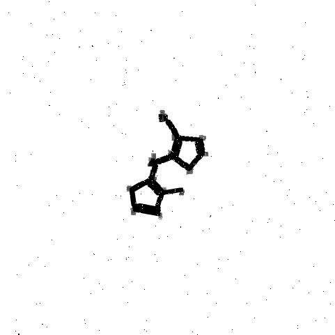 CCC1=[C]([Zr][C]2=C(C)C=CC2)CC=C1